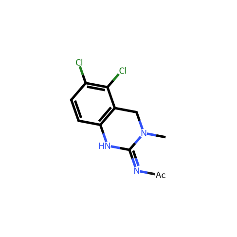 CC(=O)/N=C1/Nc2ccc(Cl)c(Cl)c2CN1C